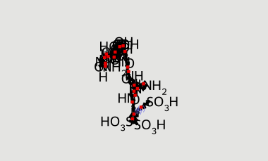 C=C(/C=C/C=C(\C)N(CCCCCC(=O)NC1CCN(c2nc(N3CCC(N)CC3)nc(N3CCC(C(=O)NCCCCCC(=O)NCCCCCCOP(=O)(O)OP(=O)(O)OP(=O)(O)OP(=O)(O)OP(=O)(O)OP(=O)(O)OC[C@H]4O[C@@H](n5cnc6c(=O)[nH]c(N)nc65)C[C@H]4O)CC3)n2)CC1)c1ccc2c(S(=O)(=O)O)cc(S(=O)(=O)O)cc2c1C)CCCS(=O)(=O)O